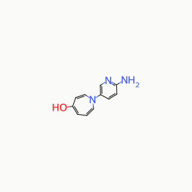 Nc1ccc(N2C=CC=C(O)C=C2)cn1